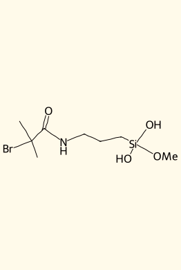 CO[Si](O)(O)CCCNC(=O)C(C)(C)Br